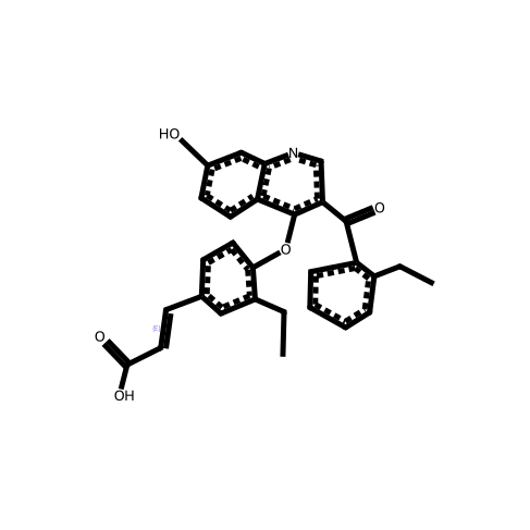 CCc1cc(/C=C/C(=O)O)ccc1Oc1c(C(=O)c2ccccc2CC)cnc2cc(O)ccc12